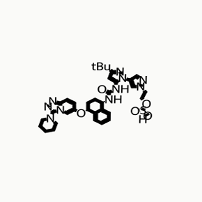 CC(C)(C)c1cc(NC(=O)N[C@H]2CC[C@@H](Oc3ccc4nnc(N5CCCCC5)n4c3)c3ccccc32)n(-c2cnn(CCO[SH](=O)=O)c2)n1